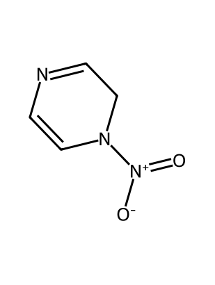 O=[N+]([O-])N1C=CN=CC1